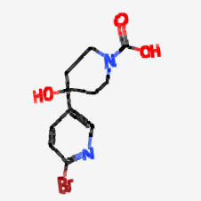 O=C(O)N1CCC(O)(c2ccc(Br)nc2)CC1